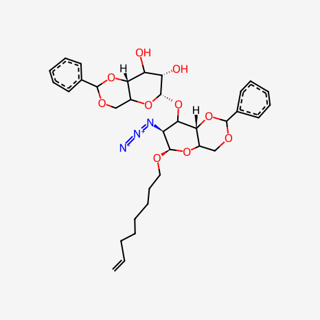 C=CCCCCCCO[C@@H]1OC2COC(c3ccccc3)O[C@H]2C(O[C@@H]2OC3COC(c4ccccc4)O[C@@H]3C(O)[C@@H]2O)[C@@H]1N=[N+]=[N-]